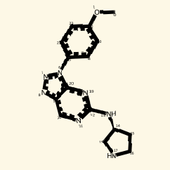 COc1ccc(-n2nnc3cnc(N[C@H]4CCNC4)nc32)cc1